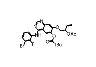 C=CC(COc1cc2ncnc(Nc3cccc(Br)c3F)c2cc1OC(=O)C(C)(C)C)OC(C)=O